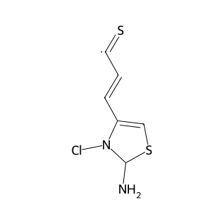 NC1SC=C(C=C[C]=S)N1Cl